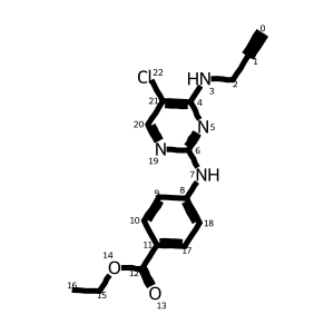 C#CCNc1nc(Nc2ccc(C(=O)OCC)cc2)ncc1Cl